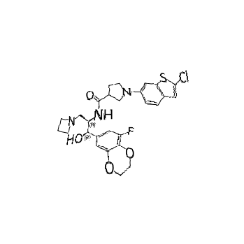 O=C(N[C@H](CN1CCC1)[C@H](O)c1cc(F)c2c(c1)OCCO2)C1CCN(c2ccc3cc(Cl)sc3c2)C1